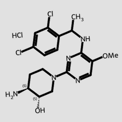 COc1cnc(N2CC[C@H](N)[C@@H](O)C2)nc1NC(C)c1ccc(Cl)cc1Cl.Cl